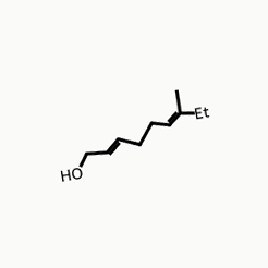 CCC(C)=CCCC=CCO